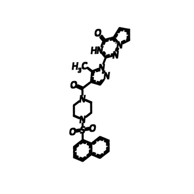 Cc1c(C(=O)N2CCN(S(=O)(=O)c3cccc4ccccc34)CC2)cnn1-c1nn2cccc2c(=O)[nH]1